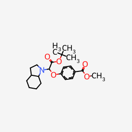 COC(=O)c1ccc(OC(C(=O)OC(C)(C)C)N2CCC3CCCCC32)cc1